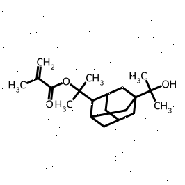 C=C(C)C(=O)OC(C)(C)C1C2CC3CC1CC(C(C)(C)O)(C3)C2